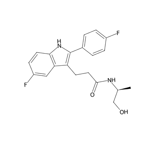 C[C@@H](CO)NC(=O)CCc1c(-c2ccc(F)cc2)[nH]c2ccc(F)cc12